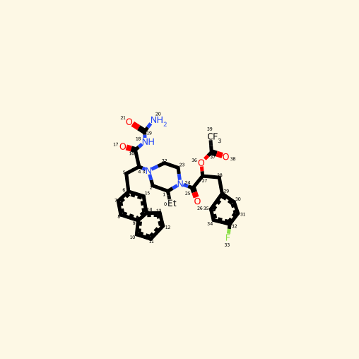 CCC1CN(C(Cc2ccc3ccccc3c2)C(=O)NC(N)=O)CCN1C(=O)C(Cc1ccc(F)cc1)OC(=O)C(F)(F)F